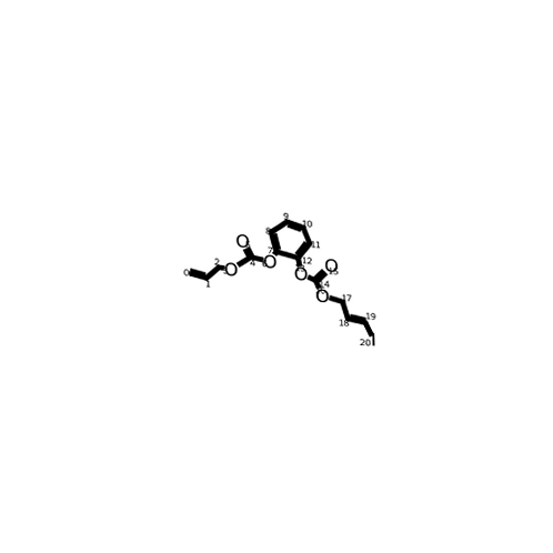 C=CCOC(=O)Oc1ccccc1OC(=O)OCC=CI